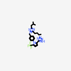 CCCCc1nc(CC(C)C)nn1Cc1ccc(-n2c(-c3nnn[nH]3)ccc2C(F)(F)F)cc1